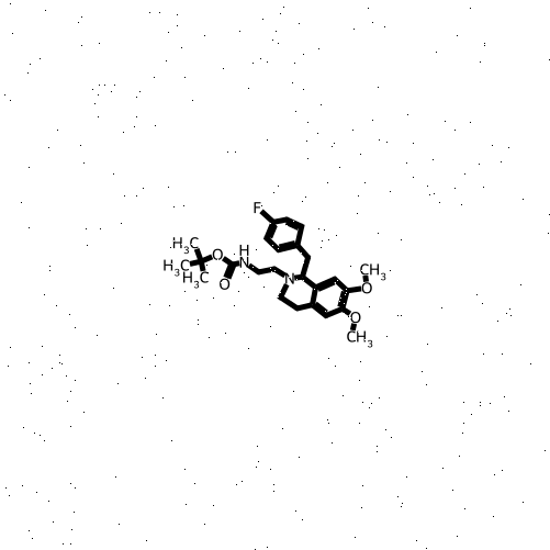 COc1cc2c(cc1OC)C(Cc1ccc(F)cc1)N(CCNC(=O)OC(C)(C)C)CC2